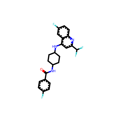 O=C(NC1CCC(Nc2cc(C(F)F)nc3ccc(F)cc23)CC1)c1ccc(F)cc1